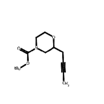 CC#CCC1CN(C(=O)OC(C)(C)C)CCO1